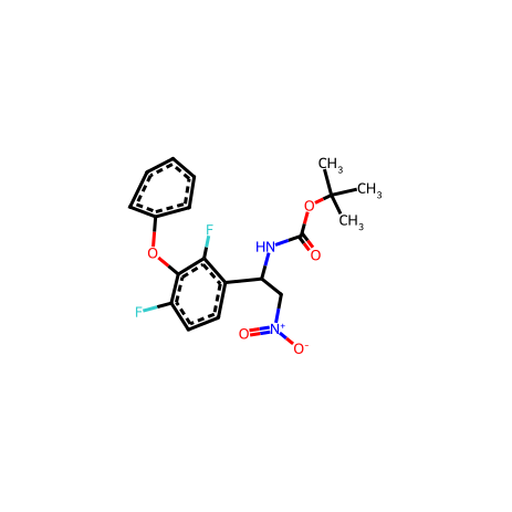 CC(C)(C)OC(=O)NC(C[N+](=O)[O-])c1ccc(F)c(Oc2ccccc2)c1F